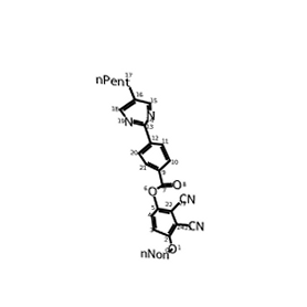 CCCCCCCCCOc1ccc(OC(=O)c2ccc(-c3ncc(CCCCC)cn3)cc2)c(C#N)c1C#N